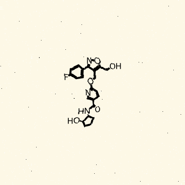 O=C(N[C@@H]1CCC[C@H]1O)c1ccc(OCc2c(-c3ccc(F)cc3)noc2CO)nc1